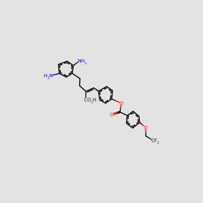 Nc1ccc(N)c(CCC(=Cc2ccc(OC(=O)c3ccc(OCC(F)(F)F)cc3)cc2)C(=O)O)c1